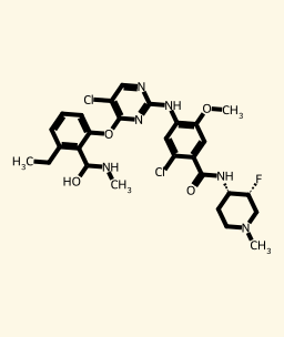 CCc1cccc(Oc2nc(Nc3cc(Cl)c(C(=O)N[C@H]4CCN(C)C[C@H]4F)cc3OC)ncc2Cl)c1C(O)NC